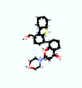 O=Cc1ccc(-c2cccc3c(=O)cc(N4CCOCC4)oc23)c2sc3ccccc3c12